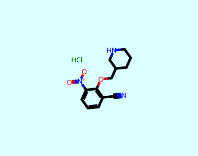 Cl.N#Cc1cccc([N+](=O)[O-])c1OCC1CCCNC1